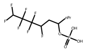 CCCC(CC(F)C(F)(F)C(F)(F)C(F)F)OP(=O)(O)O